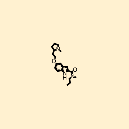 CCCN(C)C(=O)c1cc2cc(OCCC3CCCN3C)ccc2[nH]1